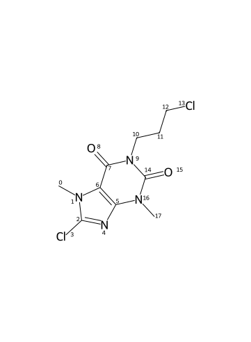 Cn1c(Cl)nc2c1c(=O)n(CCCCl)c(=O)n2C